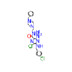 Nc1nc(NCc2ccc(Cl)cc2)c(Cl)nc1C(=O)NCCN1CCN(Cc2ccccc2)CC1